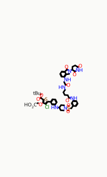 CC(C)(C)OC(=O)c1sc(-c2cccc(NC3CCN(S(=O)(=O)Cc4cccc(NC(=O)CCCCNC(=O)CNc5cccc6c5CN(C5CCC(=O)NC5=O)C6=O)c4)CC3)c2)c(Cl)c1OCC(=O)O